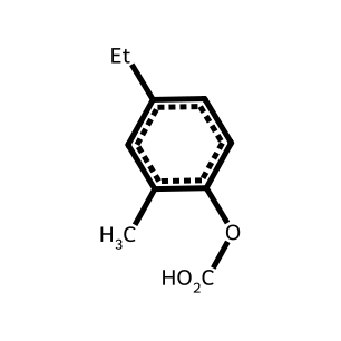 CCc1ccc(OC(=O)O)c(C)c1